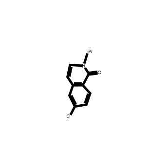 CC(C)n1ccc2cc(Cl)ccc2c1=O